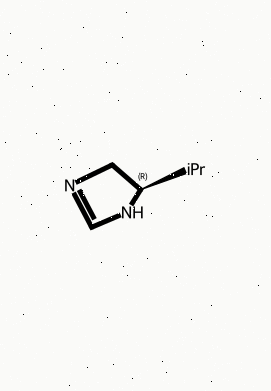 CC(C)[C@@H]1CN=CN1